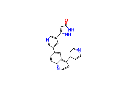 O=c1cc(-c2cncc(-c3ccc4nccc(-c5ccncc5)c4c3)c2)[nH][nH]1